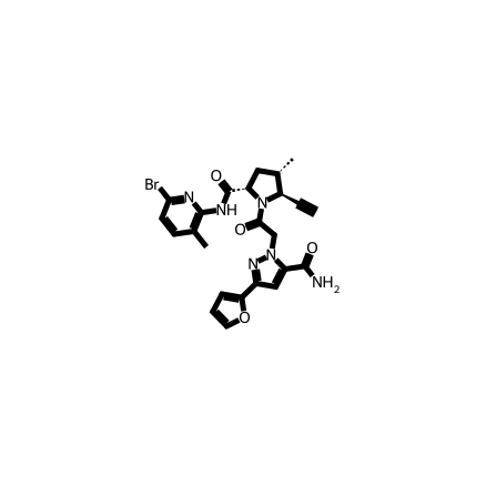 C#C[C@@H]1[C@@H](C)C[C@@H](C(=O)Nc2nc(Br)ccc2C)N1C(=O)Cn1nc(-c2ccco2)cc1C(N)=O